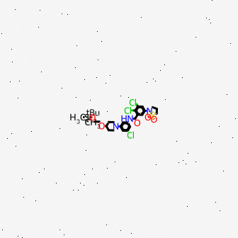 CC(C)(C)[Si](C)(C)OCCOC1CCN(c2cc(Cl)cc(NC(=O)c3cc(N4CCCS4(=O)=O)cc(Cl)c3Cl)c2)CC1